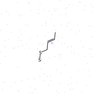 C/C=C/CS[S]